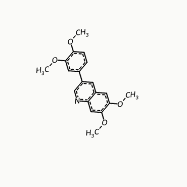 COc1ccc(-c2cnc3cc(OC)c(OC)cc3c2)cc1OC